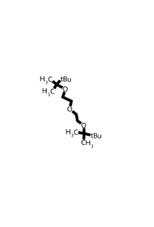 CC(C)(C)C(C)(C)OCCOCCOC(C)(C)C(C)(C)C